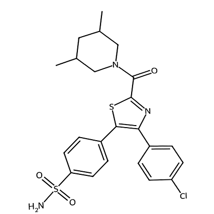 CC1CC(C)CN(C(=O)c2nc(-c3ccc(Cl)cc3)c(-c3ccc(S(N)(=O)=O)cc3)s2)C1